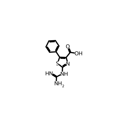 N=C(N)Nc1nc(C(=O)O)c(-c2ccccc2)s1